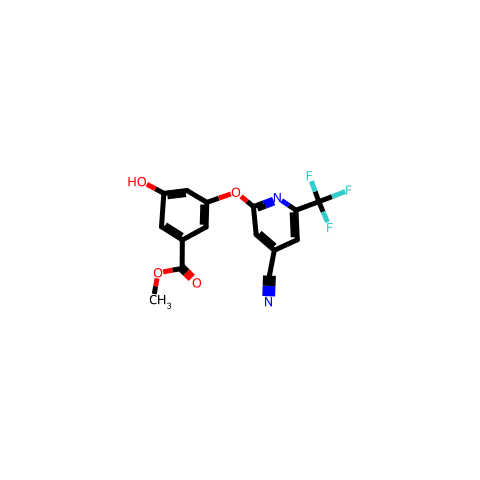 COC(=O)c1cc(O)cc(Oc2cc(C#N)cc(C(F)(F)F)n2)c1